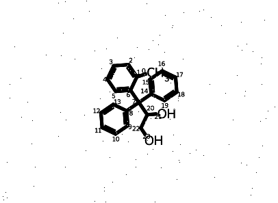 Cc1ccccc1C(c1ccccc1)(c1ccccc1)C(O)CO